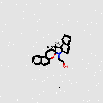 CC1(C)c2c(ccc3ccccc23)N(CCO)C12C=Cc1c(ccc3ccccc13)O2